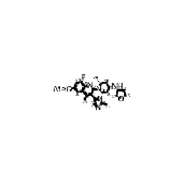 COc1cc(F)c2nc(N3CC[C@@H](N[C@@H]4CCOC4)C[C@H]3C)c(-c3nc(C)no3)c(C)c2c1